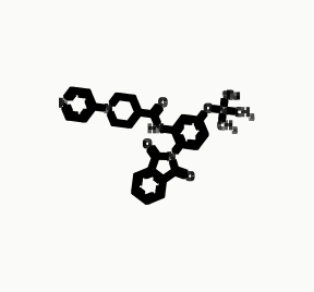 CC(C)(C)[Si](C)(C)Oc1ccc(N2C(=O)c3ccccc3C2=O)c(NC(=O)C2CCN(c3ccncc3)CC2)c1